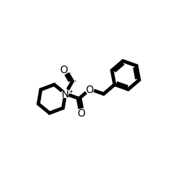 O=[C][N+]1(C(=O)OCc2ccccc2)CCCCC1